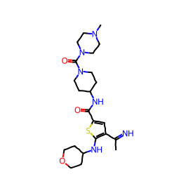 CC(=N)c1cc(C(=O)NC2CCN(C(=O)N3CCN(C)CC3)CC2)sc1NC1CCOCC1